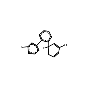 CCC1=CC(F)(c2ccccc2-c2cccc(F)c2)CC=C1